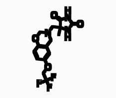 CC1(CN2COc3ccc(OCC(F)(F)F)cc3C2)NC(=O)NC1=O